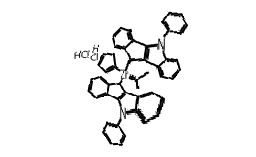 C[C](C)=[Zr]([C]1=CC=CC1)([CH]1c2ccccc2-c2c1c1ccccc1n2-c1ccccc1)[CH]1c2ccccc2-c2c1c1ccccc1n2-c1ccccc1.Cl.Cl